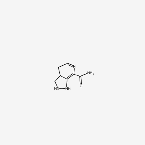 NC(=O)C1=C2NNCC2CC=N1